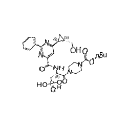 CCCCOC(=O)N1CCN(C(=O)[C@H](CP(=O)(O)O)NC(=O)c2cc([C@H]3C[C@@H]3CO)nc(-c3ccccc3)n2)CC1